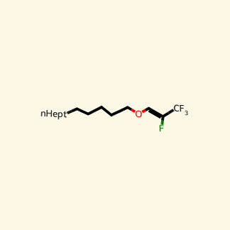 CCCCCCCCCCCCOC=C(F)C(F)(F)F